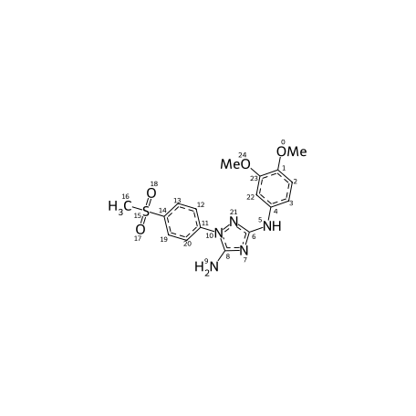 COc1ccc(Nc2nc(N)n(-c3ccc(S(C)(=O)=O)cc3)n2)cc1OC